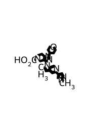 Cc1cc2cc(-c3cnn(C)c3)ncc2n1-c1nn(C2CCOCC2)c2c1CN(C(=O)O)CC2